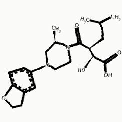 CC(C)C[C@H](C(=O)N1CCN(c2ccc3c(c2)CCO3)C[C@H]1C)[C@H](O)C(=O)O